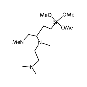 CNCC(CC[Si](OC)(OC)OC)N(C)CCN(C)C